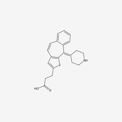 O=C(O)CCc1cc2c(s1)C(=C1CCNCC1)c1ccccc1C=C2